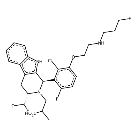 CC(CN1[C@H](c2c(F)ccc(OCCNCCCF)c2Cl)c2[nH]c3ccccc3c2C[C@H]1C(F)F)C(=O)O